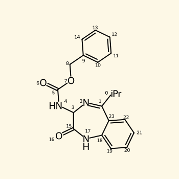 CC(C)C1=NC(NC(=O)OCc2ccccc2)C(=O)Nc2ccccc21